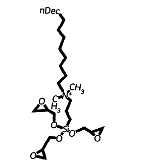 CCCCCCCCCCCCCCCCCC[N+](C)(C)CCC[Si](OCC1CO1)(OCC1CO1)OCC1CO1